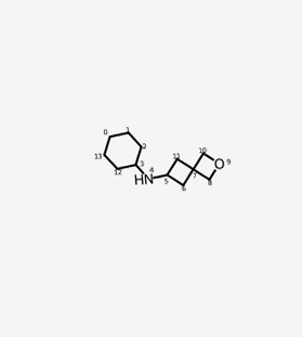 C1CCC(NC2CC3(COC3)C2)CC1